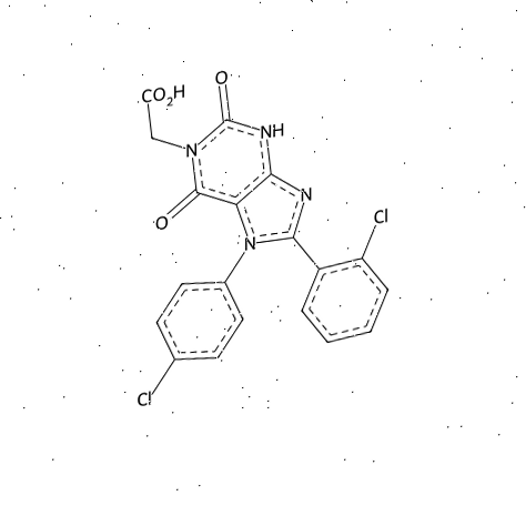 O=C(O)Cn1c(=O)[nH]c2nc(-c3ccccc3Cl)n(-c3ccc(Cl)cc3)c2c1=O